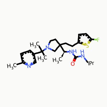 Cc1ccc(C(C)(C)N2CCC(CCc3ccc(F)s3)([C@H](C)NC(=O)NC(C)C)C2)cn1